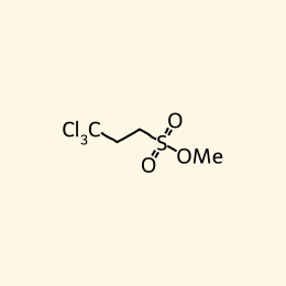 COS(=O)(=O)CCC(Cl)(Cl)Cl